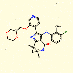 COc1c(Cl)cccc1Nc1c(-c2ccncc2OC[C@@H]2COCCO2)[nH]c2c1C(=O)N[C@@H]1C[C@H]21